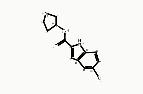 O=C(N[C@H]1CCNC1)c1cc2cc(Cl)ccc2[nH]1